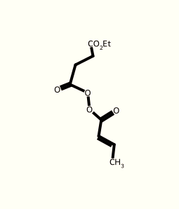 CC=CC(=O)OOC(=O)CCC(=O)OCC